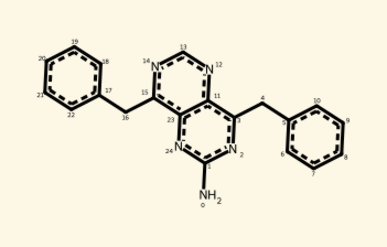 Nc1nc(Cc2ccccc2)c2ncnc(Cc3ccccc3)c2n1